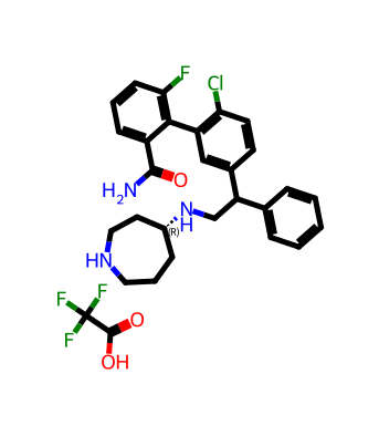 NC(=O)c1cccc(F)c1-c1cc(C(CN[C@@H]2CCCNCC2)c2ccccc2)ccc1Cl.O=C(O)C(F)(F)F